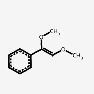 CO[C]=C(OC)c1ccccc1